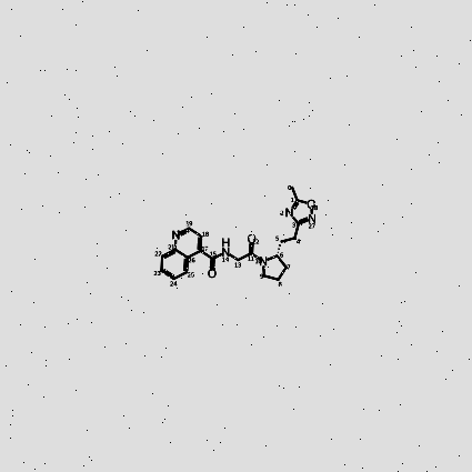 Cc1nc(CC[C@@H]2CCCN2C(=O)CNC(=O)c2ccnc3ccccc23)no1